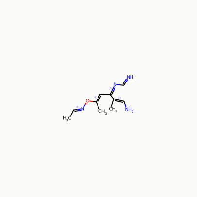 C/C=N/O/C(C)=C/C(=N/C=N)C(/C)=C/N